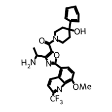 COc1ccc(-c2nc(C(C)N)c(C(=O)N3CCC(O)(c4ccccc4)CC3)o2)c2ccc(C(F)(F)F)nc12